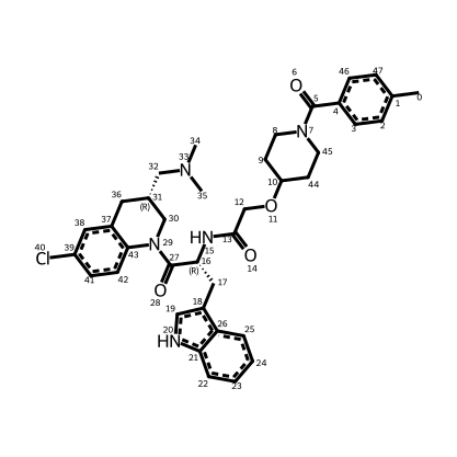 Cc1ccc(C(=O)N2CCC(OCC(=O)N[C@H](Cc3c[nH]c4ccccc34)C(=O)N3C[C@@H](CN(C)C)Cc4cc(Cl)ccc43)CC2)cc1